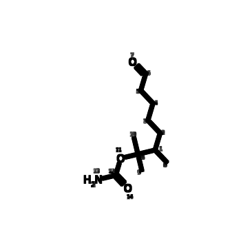 CC(CCCCC=O)C(C)(C)OC(N)=O